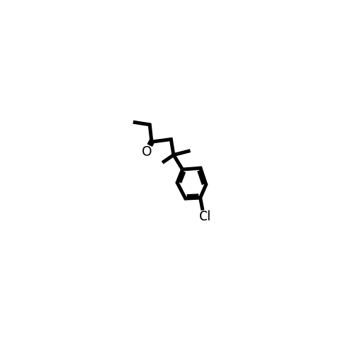 CCC(=O)CC(C)(C)c1ccc(Cl)cc1